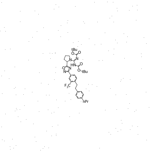 CCCc1ccc(CCc2ccc(-c3noc(C4CCCN4C(=NC(=O)OC(C)(C)C)NC(=O)OC(C)(C)C)n3)cc2C(F)(F)F)cc1